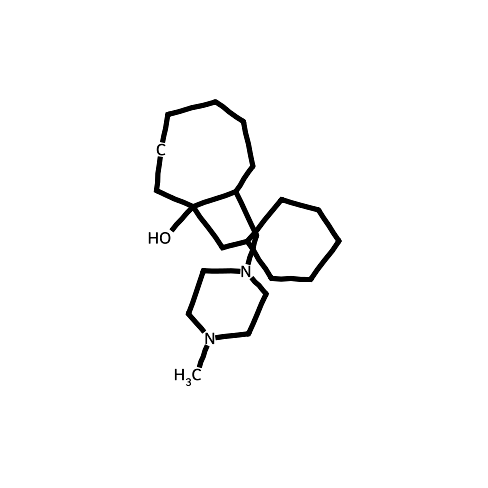 CN1CCN(CC2CCCCCCC2(O)CC2CCCCC2)CC1